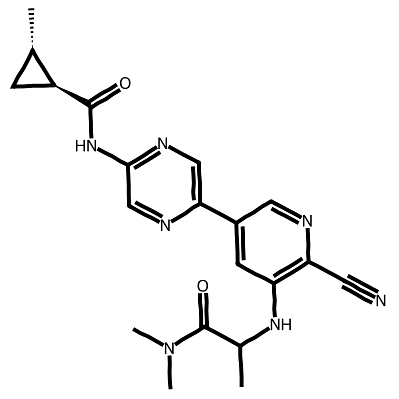 CC(Nc1cc(-c2cnc(NC(=O)[C@H]3C[C@@H]3C)cn2)cnc1C#N)C(=O)N(C)C